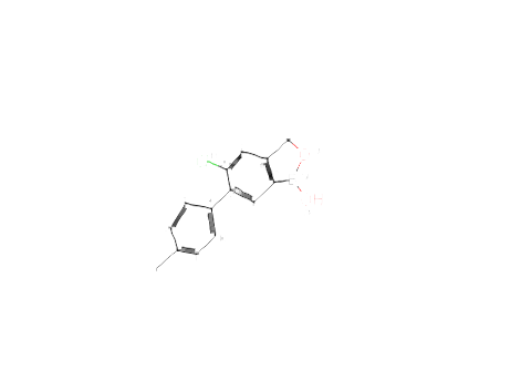 Cc1ccc(-c2cc3c(cc2Cl)COB3O)cc1